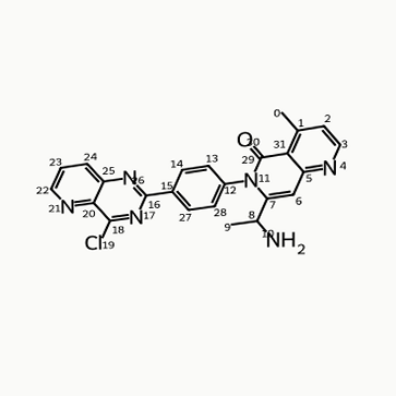 Cc1ccnc2cc(C(C)N)n(-c3ccc(-c4nc(Cl)c5ncccc5n4)cc3)c(=O)c12